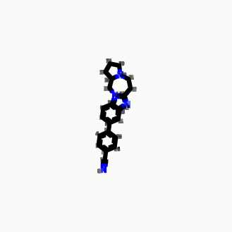 N#Cc1ccc(-c2ccc3c(c2)nc2n3CC3CCCN3CC2)cc1